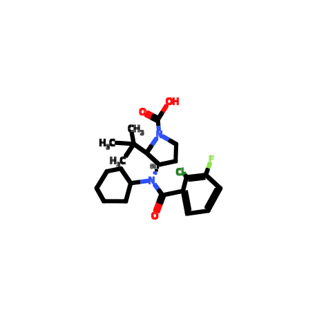 CC(C)(C)C1[C@@H](N(C(=O)c2cccc(F)c2Cl)C2CCCCC2)CCN1C(=O)O